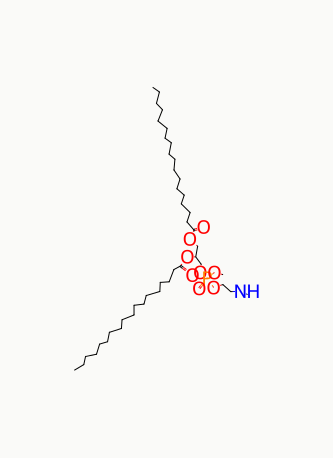 CCCCCCCCCCCCCCCCCC(=O)OCC(COP(=O)(OC)OCCNC)OC(=O)CCCCCCCCCCCCCCCCC